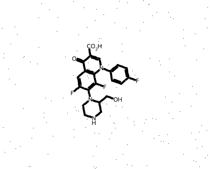 O=C(O)c1cn(-c2ccc(F)cc2)c2c(F)c(N3CCNCC3CO)c(F)cc2c1=O